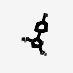 CCc1ccc(-c2nc(C(F)(F)F)cn2C)cc1